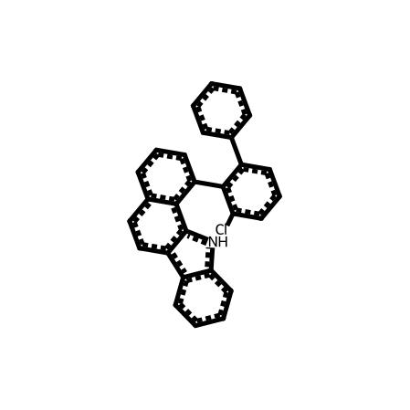 Clc1cccc(-c2ccccc2)c1-c1cccc2ccc3c4ccccc4[nH]c3c12